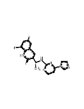 C[C@H](Nc1nccc(-n2ccnc2)n1)c1cc2cc(Cl)cc(F)c2[nH]c1=O